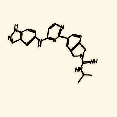 CC(C)NC(=N)N1Cc2ccc(-c3nccc(Nc4ccc5[nH]ncc5c4)n3)cc2C1